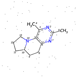 Cc1nc(C)c2c(n1)CCC1CCCN21